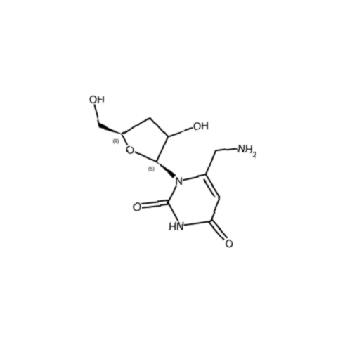 NCc1cc(=O)[nH]c(=O)n1[C@H]1O[C@@H](CO)CC1O